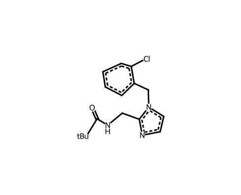 CC(C)(C)C(=O)NCc1nccn1Cc1ccccc1Cl